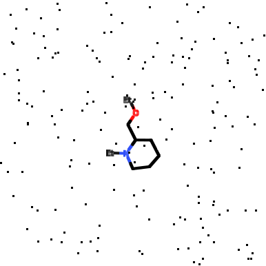 CCOCC1CCCCN1CC